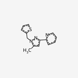 Cc1cc(-c2ccccn2)nn1Cc1cccs1